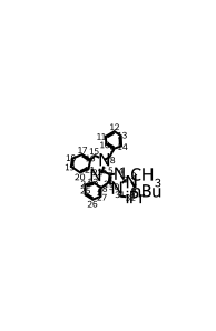 CCCCN(C)c1nc2c(N(Cc3ccccc3)Cc3ccccc3)nc3ccccc3c2n1CC(C)C